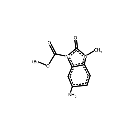 Cn1c(=O)n(C(=O)OC(C)(C)C)c2cc(N)ccc21